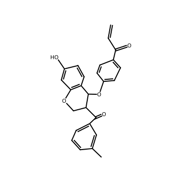 C=CC(=O)c1ccc(OC2c3ccc(O)cc3OCC2C(=O)c2cccc(C)c2)cc1